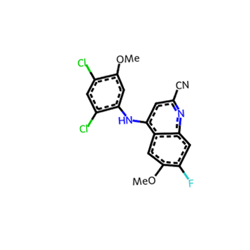 COc1cc2c(Nc3cc(OC)c(Cl)cc3Cl)cc(C#N)nc2cc1F